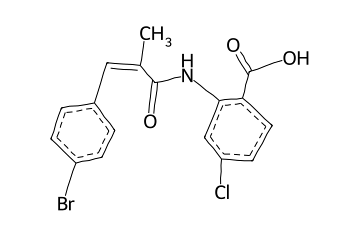 CC(=Cc1ccc(Br)cc1)C(=O)Nc1cc(Cl)ccc1C(=O)O